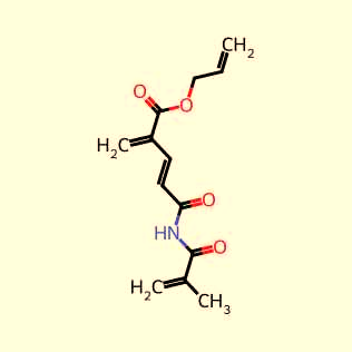 C=CCOC(=O)C(=C)C=CC(=O)NC(=O)C(=C)C